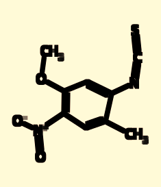 COc1cc(N=C=S)c(C)cc1[N+](=O)[O-]